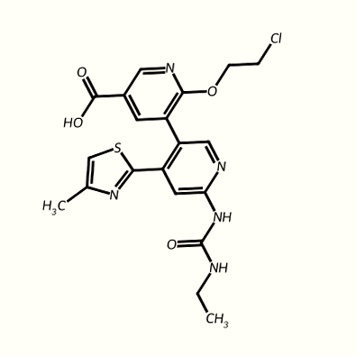 CCNC(=O)Nc1cc(-c2nc(C)cs2)c(-c2cc(C(=O)O)cnc2OCCCl)cn1